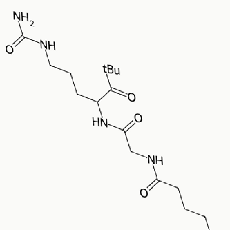 CC(=O)CCCCC(=O)NCC(=O)NC(CCCNC(N)=O)C(=O)C(C)(C)C